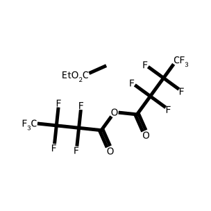 CCOC(C)=O.O=C(OC(=O)C(F)(F)C(F)(F)C(F)(F)F)C(F)(F)C(F)(F)C(F)(F)F